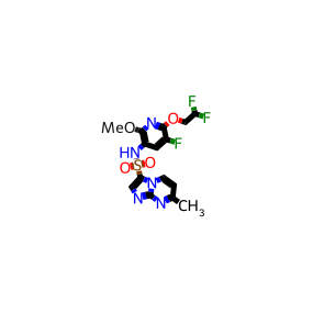 COc1nc(OCC(F)F)c(F)cc1NS(=O)(=O)c1cnc2nc(C)ccn12